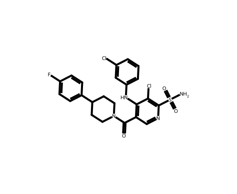 NS(=O)(=O)c1ncc(C(=O)N2CCC(c3ccc(F)cc3)CC2)c(Nc2cccc(Cl)c2)c1Cl